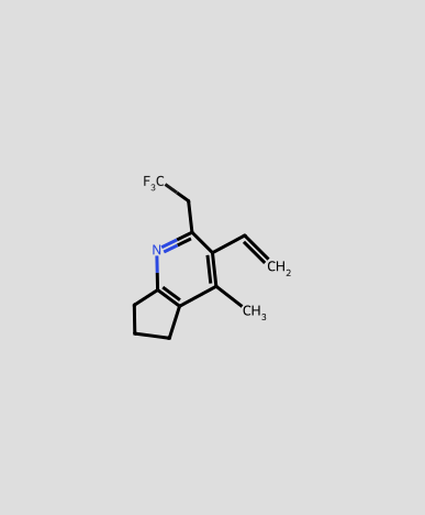 C=Cc1c(CC(F)(F)F)nc2c(c1C)CCC2